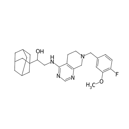 COc1cc(CN2CCc3c(ncnc3NCC(O)C34CC5CC(CC(C5)C3)C4)C2)ccc1F